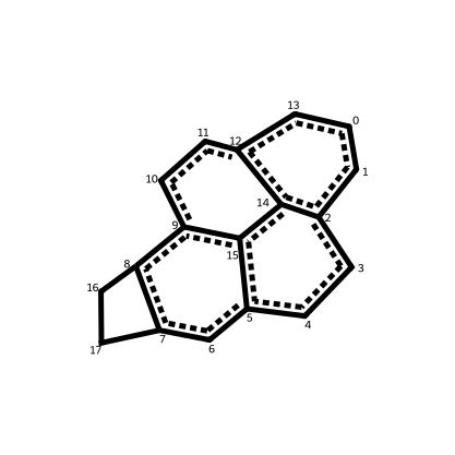 c1cc2ccc3cc4c(c5ccc(c1)c2c35)CC4